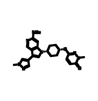 CNc1cc2c(cn1)c(-c1cnn(C)c1)cn2[C@H]1CC[C@@H](Oc2ccc(=O)n(C)n2)CC1